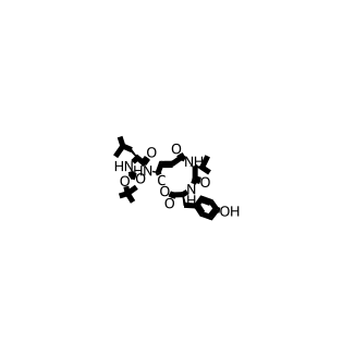 CC(C)C[C@H](NC(=O)OC(C)(C)C)C(=O)N[C@@H]1/C=C/C(=O)N[C@@H](C(C)C)C(=O)N[C@@H](Cc2ccc(O)cc2)C(=O)OC1